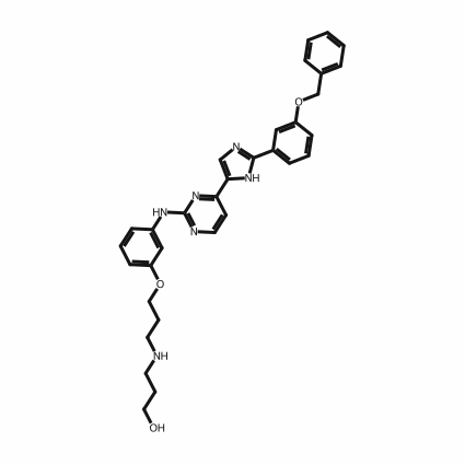 OCCCNCCCOc1cccc(Nc2nccc(-c3cnc(-c4cccc(OCc5ccccc5)c4)[nH]3)n2)c1